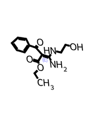 CCOC(=O)/C(C(=O)c1ccccc1)=C(\N)NCCO